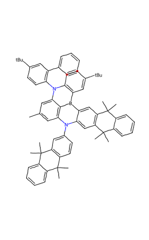 Cc1cc2c3c(c1)N(c1ccc(C(C)(C)C)cc1-c1ccccc1)c1ccc(C(C)(C)C)cc1B3c1cc3c(cc1N2c1ccc2c(c1)C(C)(C)c1ccccc1C2(C)C)C(C)(C)c1ccccc1C3(C)C